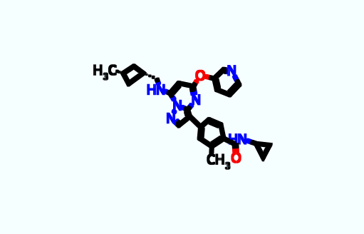 Cc1cc(-c2cnn3c(NC[C@H]4C[C@@H](C)C4)cc(Oc4cccnc4)nc23)ccc1C(=O)NC1CC1